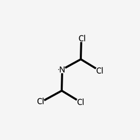 ClC(Cl)[N]C(Cl)Cl